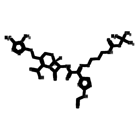 Cc1nnc(SCC2=C(C(=O)O)N3C(=O)C(NC(=O)C(=NOCCCNC(=O)OC(C)(C)C)c4csc(NC=O)n4)[C@@H]3SC2)n1N